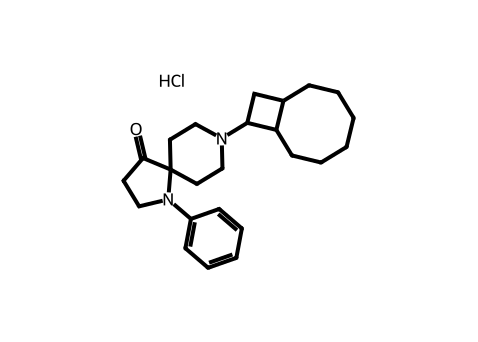 Cl.O=C1CCN(c2ccccc2)C12CCN(C1CC3CCCCCCC31)CC2